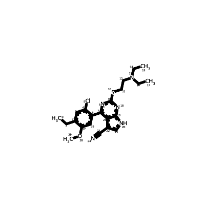 CCc1cc(Cl)c(-c2nc(SCCN(CC)CC)nc3[nH]cc(C#N)c23)cc1OC